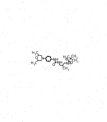 CC(CNC(=O)Nc1ccc(N2CC(C)OC(C)C2)cc1)CNS(=O)(=O)C(C)(C)C